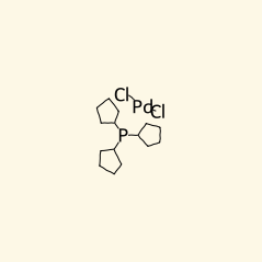 C1CCC(P(C2CCCC2)C2CCCC2)C1.[Cl][Pd][Cl]